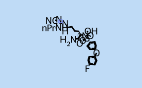 CCCN/C(=N\C#N)NCCCC[C@H](C(N)=O)N(O)S(=O)(=O)c1ccc(Oc2ccc(F)cc2)cc1